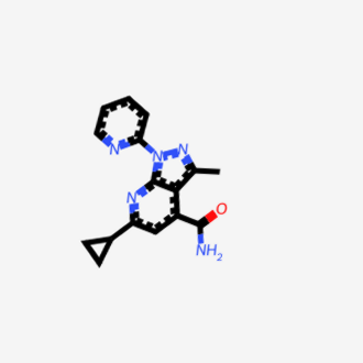 Cc1nn(-c2ccccn2)c2nc(C3CC3)cc(C(N)=O)c12